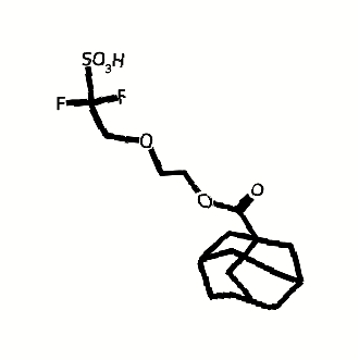 O=C(OCCOCC(F)(F)S(=O)(=O)O)C12CC3CC(CC(C3)C1)C2